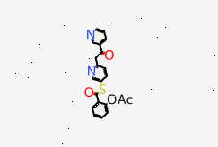 CC(=O)Oc1ccccc1C(=O)Sc1ccc(CC(=O)c2cccnc2)nc1